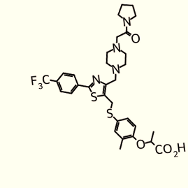 Cc1cc(SCc2sc(-c3ccc(C(F)(F)F)cc3)nc2CN2CCN(CC(=O)N3CCCC3)CC2)ccc1OC(C)C(=O)O